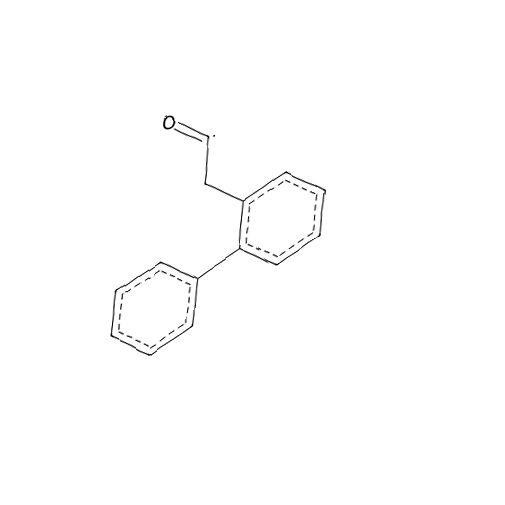 O=[C]Cc1ccccc1-c1ccccc1